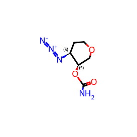 [N-]=[N+]=N[C@H]1CCOC[C@H]1OC(N)=O